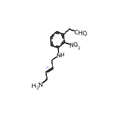 NC/C=C/CNc1cccc(CC=O)c1[N+](=O)[O-]